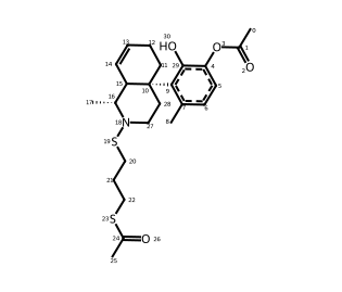 CC(=O)Oc1ccc(C)c([C@@]23CCC=CC2[C@@H](C)N(SCCCSC(C)=O)CC3)c1O